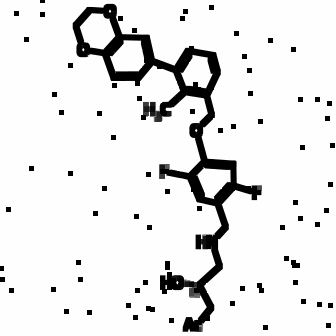 CC(=O)C[C@H](O)CNCc1cc(F)c(OCc2cccc(-c3ccc4c(c3)OCCO4)c2C)cc1F